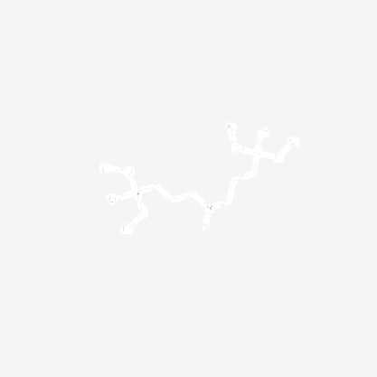 CCO[Si](CC)(CCCN(C)CCC[Si](CC)(OCC)OCC)OCC